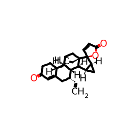 C=C[C@@H]1CC2=CC(=O)CC[C@@H]2[C@H]2CC[C@@]3(CC)[C@@H]([C@@H]4C[C@@H]4[C@@]34C=CC(=O)O4)[C@@H]21